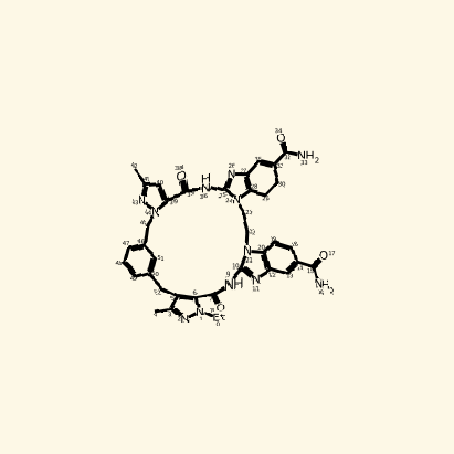 CCn1nc(C)c2c1C(=O)Nc1nc3cc(C(N)=O)ccc3n1CCn1c(nc3c1CCC(C(N)=O)=C3)NC(=O)c1cc(C)nn1Cc1cccc(c1)C2